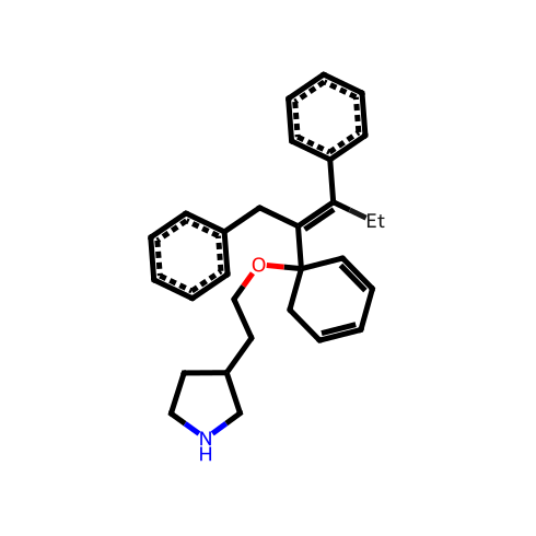 CCC(=C(Cc1ccccc1)C1(OCCC2CCNC2)C=CC=CC1)c1ccccc1